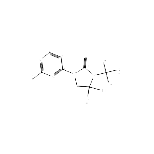 BC(O)(O)N1C(=C)N(c2ccnc(Cl)n2)CC1(B)B